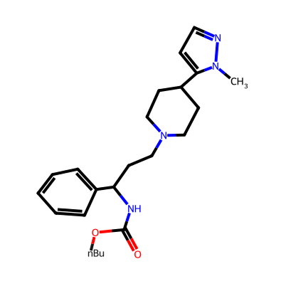 CCCCOC(=O)NC(CCN1CCC(c2ccnn2C)CC1)c1ccccc1